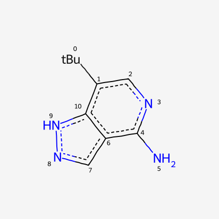 CC(C)(C)c1cnc(N)c2cn[nH]c12